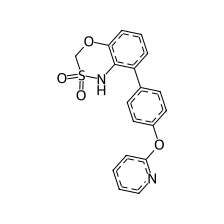 O=S1(=O)COc2cccc(-c3ccc(Oc4ccccn4)cc3)c2N1